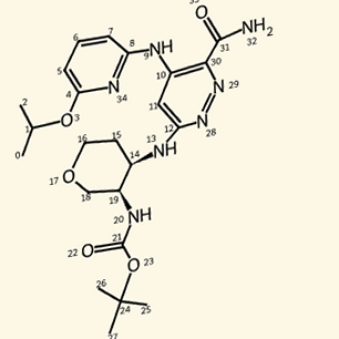 CC(C)Oc1cccc(Nc2cc(N[C@@H]3CCOC[C@@H]3NC(=O)OC(C)(C)C)nnc2C(N)=O)n1